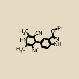 [C-]#[N+]C1=C(C)NC(C)=C(C#N)C1c1ccc2[nH]nc(OC(C)C)c2c1